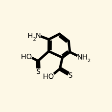 Nc1ccc(N)c(C(O)=S)c1C(O)=S